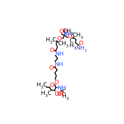 CCC1O[C@@H](OCCCCC(=O)NCCCNC(=O)CCC(C)(C)OCC(CO)(COC(C)(C)CCC(N)=O)NC)C(NC(C)=O)C(O)[C@H]1C